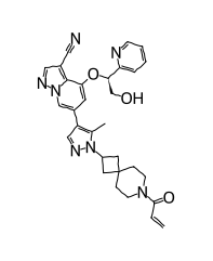 C=CC(=O)N1CCC2(CC1)CC(n1ncc(-c3cc(O[C@H](CO)c4ccccn4)c4c(C#N)cnn4c3)c1C)C2